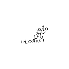 O=C1CCC(N2C(=O)c3ccc(OC4CC5(CCNCC5)C4)cc3C2=O)C(=O)N1.O=CO